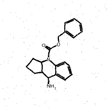 NC1c2ccccc2N(C(=O)OCc2ccccc2)C2CCCC12